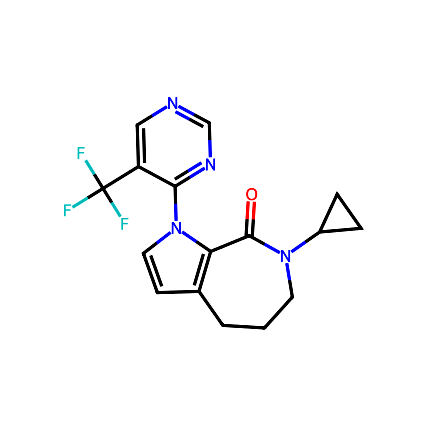 O=C1c2c(ccn2-c2ncncc2C(F)(F)F)CCCN1C1CC1